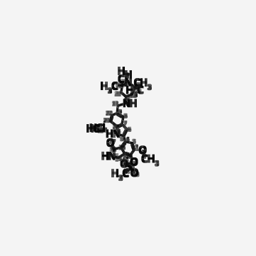 COc1cc(-c2cc3cc(CNC4CC(C)(C)NC(C)(C)C4)ccc3[nH]2)c2c(c1OS(C)(=O)=O)CNC2=O.Cl.Cl